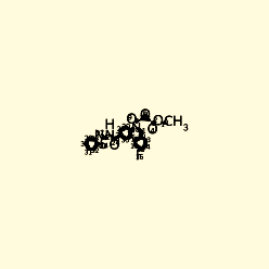 CCOC(=O)[C@H]1O[C@@H]1C(=O)N(Cc1ccc(F)cc1)c1ccc(C(=O)Nc2nc3ccccc3s2)cc1